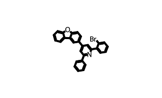 Brc1ccccc1-c1cc(-c2ccc3oc4ccccc4c3c2)cc(-c2ccccc2)n1